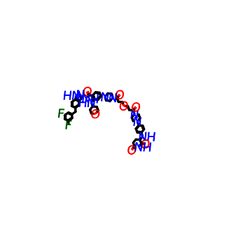 O=C1CCC(Nc2ccc(N3CCN(C(=O)CCOCCC(=O)N4CCN(c5ccc(C(=O)Nc6n[nH]c7ccc(Cc8cc(F)cc(F)c8)cc67)c(NC6CCOCC6)c5)CC4)CC3)cc2)C(=O)N1